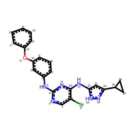 Brc1cnc(Nc2cccc(Oc3ccccc3)c2)nc1Nc1cc(C2CC2)n[nH]1